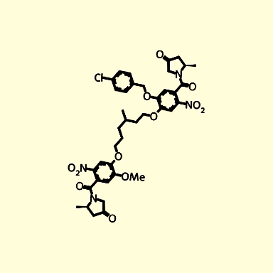 COc1cc(C(=O)N2CC(=O)C[C@H]2C)c([N+](=O)[O-])cc1OCCCC(C)CCOc1cc([N+](=O)[O-])c(C(=O)N2CC(=O)C[C@H]2C)cc1OCc1ccc(Cl)cc1